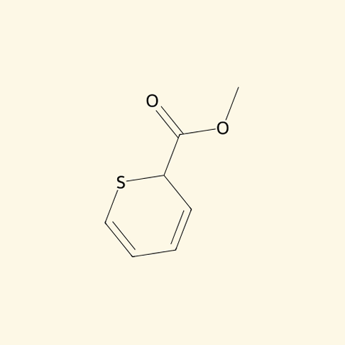 COC(=O)C1C=CC=CS1